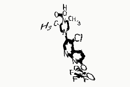 C[C@H]1CN(c2cnc3nc(OS(=O)(=O)C(F)(F)F)ccc3c2Cl)C[C@H](C)N1C(=O)O